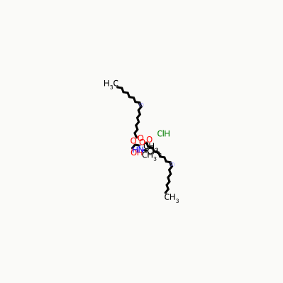 CCCCCCCC/C=C\CCCCCCCC(=O)OC(CO)C(NC(C)(C)C)OC(=O)CCCCCCC/C=C\CCCCCCCC.Cl